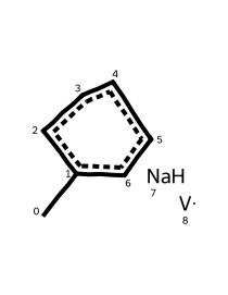 Cc1ccccc1.[NaH].[V]